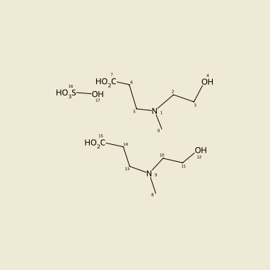 CN(CCO)CCC(=O)O.CN(CCO)CCC(=O)O.O=S(=O)(O)O